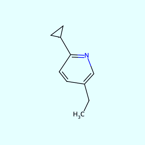 CCc1ccc([C]2CC2)nc1